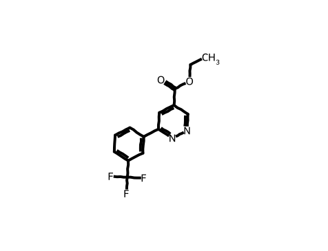 CCOC(=O)c1cnnc(-c2cccc(C(F)(F)F)c2)c1